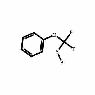 FC(F)(Oc1cc[c]cc1)SBr